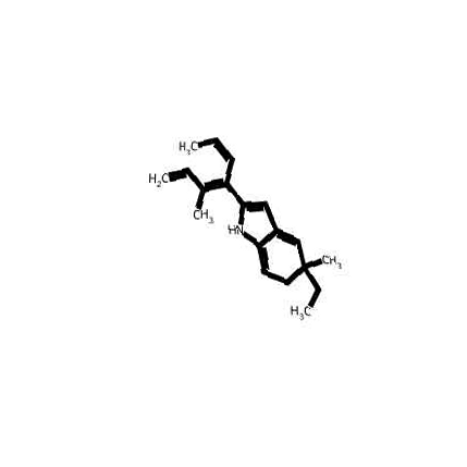 C=C/C(C)=C(\C=C/C)c1cc2c([nH]1)=CCC(C)(CC)C=2